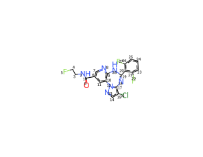 O=C(NCCF)c1cnc2c(c1)-n1ncc(Cl)c1N=C(c1c(F)cccc1F)N2